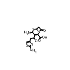 Nc1nc(CC(=O)C2=C(C(=O)O)N3C(=O)CC3SC2N)cs1